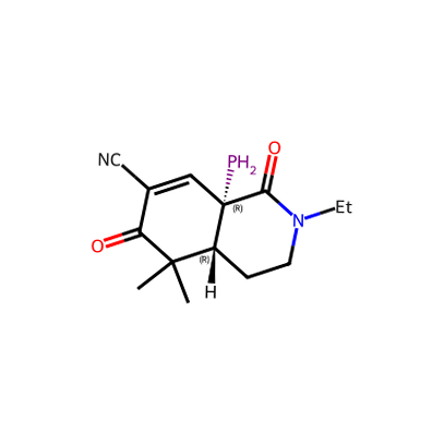 CCN1CC[C@@H]2C(C)(C)C(=O)C(C#N)=C[C@@]2(P)C1=O